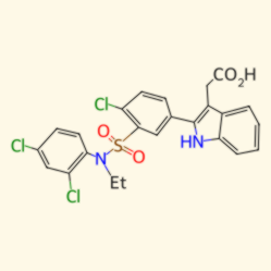 CCN(c1ccc(Cl)cc1Cl)S(=O)(=O)c1cc(-c2[nH]c3ccccc3c2CC(=O)O)ccc1Cl